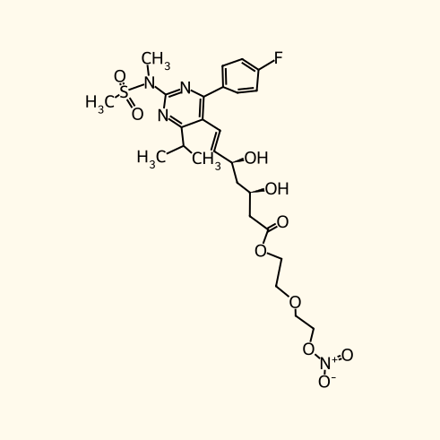 CC(C)c1nc(N(C)S(C)(=O)=O)nc(-c2ccc(F)cc2)c1/C=C/[C@@H](O)C[C@@H](O)CC(=O)OCCOCCO[N+](=O)[O-]